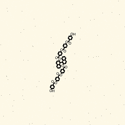 O=C(Oc1ccc(C(=O)Oc2ccc(C(=O)Oc3ccc4ccccc4c3-c3c(OC(=O)c4ccc(OC(=O)c5ccc(OC(=O)c6ccc(O)cc6)cc5)cc4)ccc4ccccc34)cc2)cc1)c1ccc(O)cc1